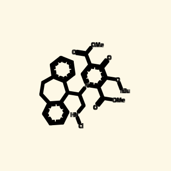 CCCCOc1c(C(=O)OC)n(C(CNCl)C2c3ccccc3CCc3ccccc32)cc(C(=O)OC)c1=O